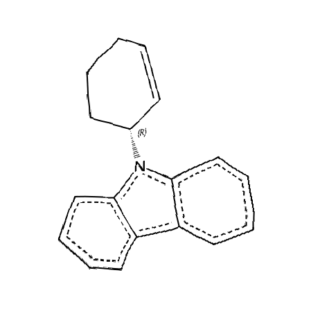 C1=C[C@H](n2c3ccccc3c3ccccc32)CCC1